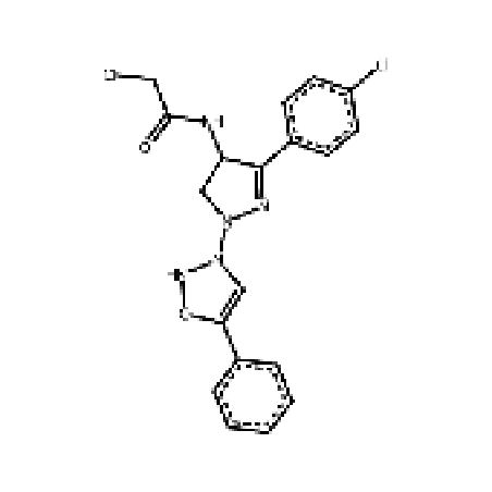 O=C(CCl)NC1CN(N2C=C(c3ccccc3)ON2)N=C1c1ccc(Cl)cc1